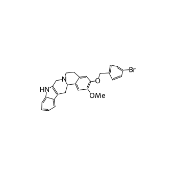 COc1cc2c(cc1OCc1ccc(Br)cc1)CCN1Cc3[nH]c4ccccc4c3CC21